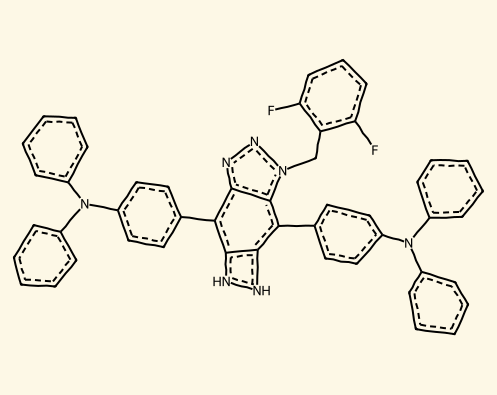 Fc1cccc(F)c1Cn1nnc2c(-c3ccc(N(c4ccccc4)c4ccccc4)cc3)c3[nH][nH]c3c(-c3ccc(N(c4ccccc4)c4ccccc4)cc3)c21